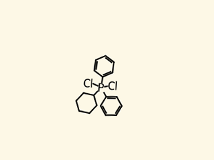 ClP(Cl)(c1ccccc1)(c1ccccc1)C1CCCCC1